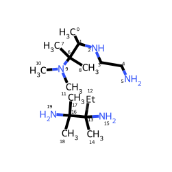 CC(NCCN)C(C)(C)N(C)C.CCC(C)(N)C(C)(C)N